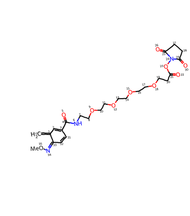 C=C1C=C(C(=O)NCCOCCOCCOCCOCCC(=O)ON2C(=O)CCC2=O)C=C/C1=N/OC